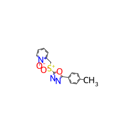 Cc1ccc(-c2nnc([S+]([O-])Cc3cccc[n+]3[O-])o2)cc1